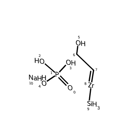 O=P(O)(O)O.OC[CH]=[Zr][SiH3].[NaH]